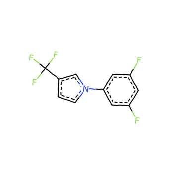 Fc1cc(F)cc(-n2ccc(C(F)(F)F)c2)c1